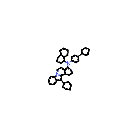 c1ccc(-c2ccc(N(c3cccc4ccccc34)c3cccc4c3ccn3c5ccccc5c(-c5ccccc5)c43)cc2)cc1